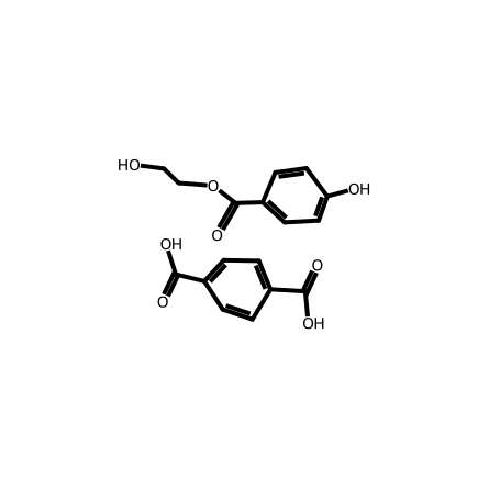 O=C(O)c1ccc(C(=O)O)cc1.O=C(OCCO)c1ccc(O)cc1